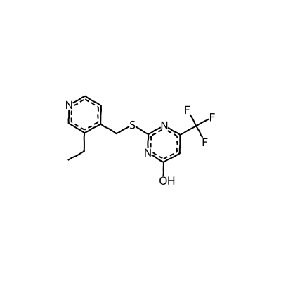 CCc1cnccc1CSc1nc(O)cc(C(F)(F)F)n1